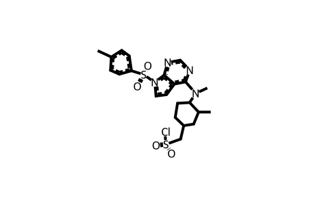 Cc1ccc(S(=O)(=O)n2ccc3c(N(C)C4CCC(CS(=O)(=O)Cl)CC4C)ncnc32)cc1